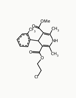 COC(=O)C1=C(C)NC(C)=C(C(=O)OCCCl)C1c1ccccc1C(F)(F)F